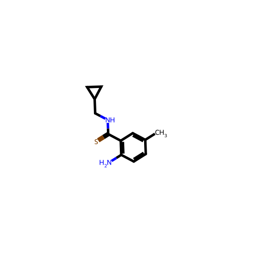 Cc1ccc(N)c(C(=S)NCC2CC2)c1